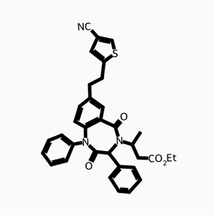 CCOC(=O)CC(C)N1C(=O)c2cc(CCc3cc(C#N)cs3)ccc2N(c2ccccc2)C(=O)C1c1ccccc1